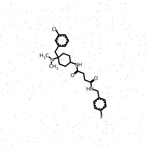 CN(C)C1(Cc2cccc(Cl)c2)CCC(NC(=O)CCC(=O)NCc2ccc(F)cc2)CC1